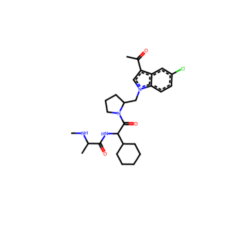 CNC(C)C(=O)NC(C(=O)N1CCCC1Cn1cc(C(C)=O)c2cc(Cl)ccc21)C1CCCCC1